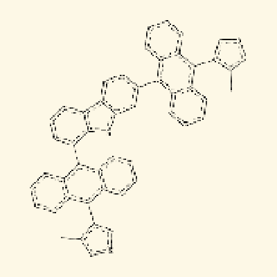 Cc1cscc1-c1c2ccccc2c(-c2ccc3c(c2)sc2c(-c4c5ccccc5c(-c5cscc5C)c5ccccc45)cccc23)c2ccccc12